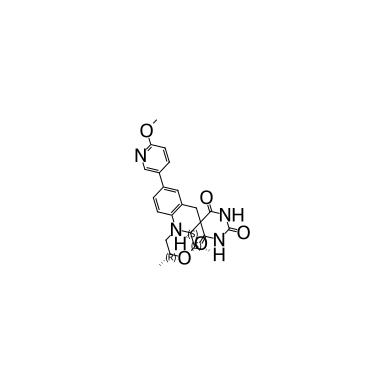 COc1ccc(-c2ccc3c(c2)CC2(C(=O)NC(=O)NC2=O)[C@H]2[C@H](C)O[C@H](C)CN32)cn1